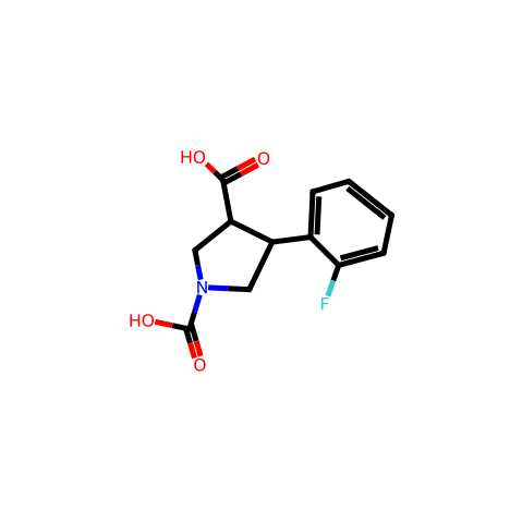 O=C(O)C1CN(C(=O)O)CC1c1ccccc1F